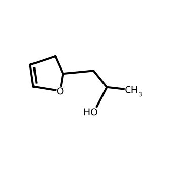 CC(O)CC1CC=CO1